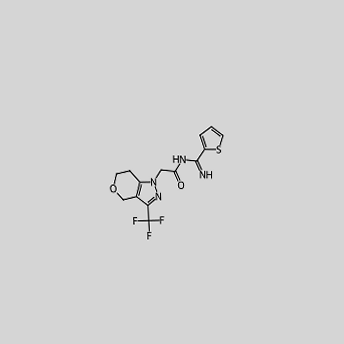 N=C(NC(=O)Cn1nc(C(F)(F)F)c2c1CCOC2)c1cccs1